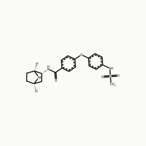 CS(=O)(=O)Nc1ccc(Oc2ccc(C(=O)N[C@@H]3C[C@H]4CC[C@@H]3N4)cc2)cc1